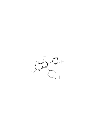 Clc1cnc2[nH]c(-c3cc[nH]c3)c(C3CCNCC3)c2c1